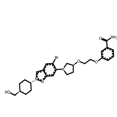 NC(=O)c1cccc(OCCO[C@H]2CCN(c3cc4nn([C@H]5CC[C@H](CO)CC5)cc4cc3Br)C2)c1